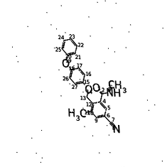 CNC(=O)c1cc(C#N)cc(C)c1COc1ccc(Oc2ccccc2)cc1